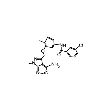 Cc1ccc(NC(=O)c2cccc(Cl)c2)cc1OCc1nn(C)c2ncnc(N)c12